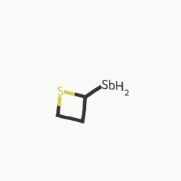 [SbH2][CH]1CCS1